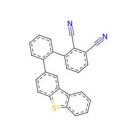 N#Cc1cccc(-c2ccccc2-c2ccc3sc4ccccc4c3c2)c1C#N